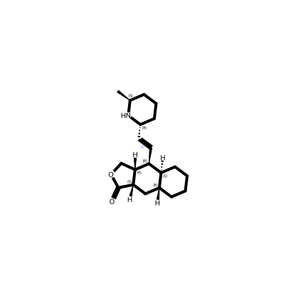 C[C@H]1CCC[C@H](/C=C/[C@@H]2[C@H]3COC(=O)[C@H]3C[C@H]3CCCC[C@@H]32)N1